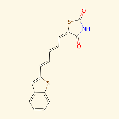 O=C1NC(=O)\C(=C/C=C/C=C/c2cc3ccccc3s2)S1